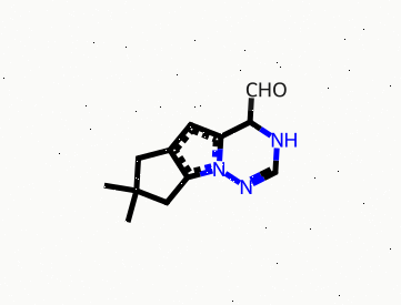 CC1(C)Cc2cc3n(c2C1)N=CNC3C=O